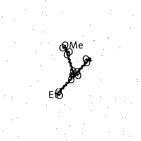 C=C(C)C(=O)OCCCCCCOC(=O)c1cc(OCCCCCCCCOC(=O)CC)ccc1OCCCCCCCCOC(=O)CCC(=O)OC